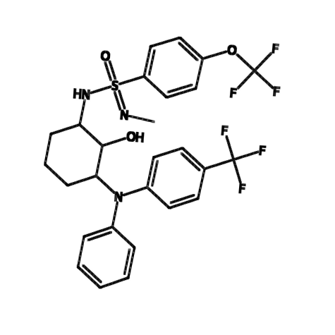 CN=S(=O)(NC1CCCC(N(c2ccccc2)c2ccc(C(F)(F)F)cc2)C1O)c1ccc(OC(F)(F)F)cc1